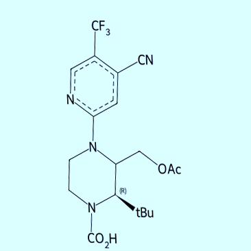 CC(=O)OCC1[C@@H](C(C)(C)C)N(C(=O)O)CCN1c1cc(C#N)c(C(F)(F)F)cn1